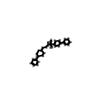 O=S(=O)(NCCN1CCN(c2ccccc2)CC1)c1ccc(-c2ccccc2)cc1